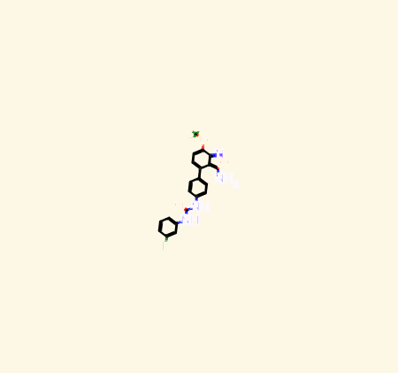 Nc1onc2c(OC(F)(F)F)ccc(-c3ccc(NC(=O)Nc4cccc(Br)c4)cc3)c12